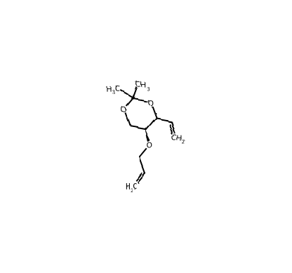 C=CCO[C@H]1COC(C)(C)OC1C=C